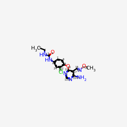 CCNC(=O)Nc1ccc(Oc2ncnc(N)c2/C=N/OC)c(Cl)c1